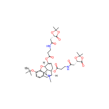 CN1CC[C@]23c4c5ccc(O[Si](C)(C)C(C)(C)C)c4O[C@H]2C(OC(=O)CCNC(=O)C[C@@H]2OC(C)(C)OC2=O)=CC[C@@]3(OC(=O)CCNC(=O)C[C@@H]2OC(C)(C)OC2=O)[C@H]1C5